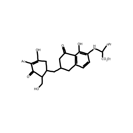 CCCC(Nc1ccc2c(c1O)C(=O)CC(CC1CC(O)=C(C(C)=O)C(=O)C1CO)C2)C(=O)OCC